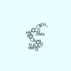 COC(=O)c1cc(Nc2ncc3c(n2)CN(c2cnc4c(c2C)N(C(=O)OC(C)(C)C)CCO4)CC3)ccc1C1CCN(C)CC1